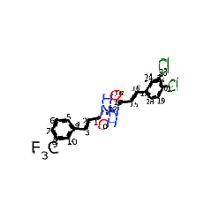 O=C(/C=C/c1cccc(C(F)(F)F)c1)NNC(=O)/C=C/c1ccc(Cl)c(Cl)c1